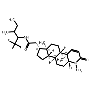 CCC(C)C(NC(=O)C[C@H]1CC[C@H]2[C@@H]3CC[C@H]4N(C)C(=O)C=C[C@]4(C)[C@H]3CC[C@]12C)C(F)(F)F